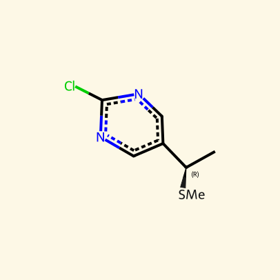 CS[C@H](C)c1cnc(Cl)nc1